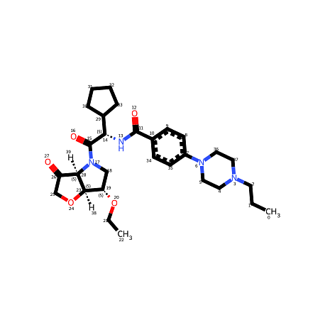 CCCN1CCN(c2ccc(C(=O)N[C@H](C(=O)N3C[C@H](OCC)[C@H]4OCC(=O)[C@H]43)C3CCCC3)cc2)CC1